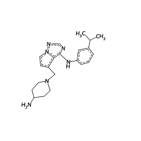 CC(C)c1cccc(Nc2ncnn3ccc(CN4CCC(N)CC4)c23)c1